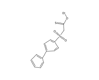 CCOC(=S)CS(=O)(=O)c1ccc(-c2ccccc2)cc1